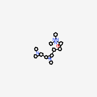 c1ccc(-c2nc(-c3ccccc3)nc(-c3cccc4c3oc3c(-c5cccc(-c6ccc7c(c6)c6cc(-c8ccc9c(c8)c8ccccc8n9-c8ccccc8)ccc6n7-c6ccccc6)c5)cccc34)n2)cc1